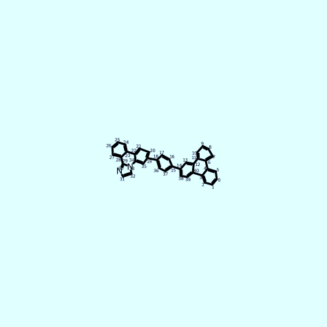 c1ccc2c(c1)c1ccccc1c1cc(-c3ccc(-c4ccc5c6ccccc6c6nccn6c5c4)cc3)ccc21